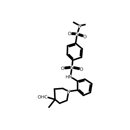 CN(C)S(=O)(=O)c1ccc(S(=O)(=O)Nc2ccccc2N2CCC(C)(C=O)CC2)cc1